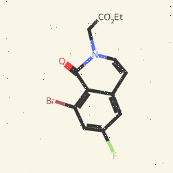 CCOC(=O)Cn1ccc2cc(F)cc(Br)c2c1=O